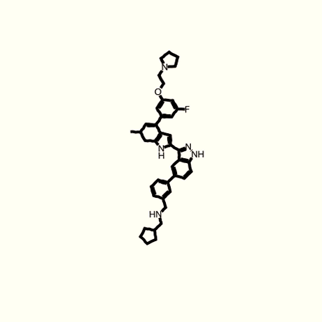 CC1C=C(c2cc(F)cc(OCCN3CCCC3)c2)c2cc(-c3n[nH]c4ccc(-c5cccc(CNCC6CCCC6)c5)cc34)[nH]c2C1